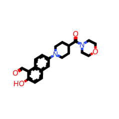 O=Cc1c(O)ccc2cc(N3CCC(C(=O)N4CCOCC4)CC3)ccc12